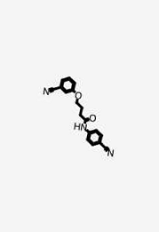 N#Cc1ccc(NC(=O)CCCOc2cccc(C#N)c2)cc1